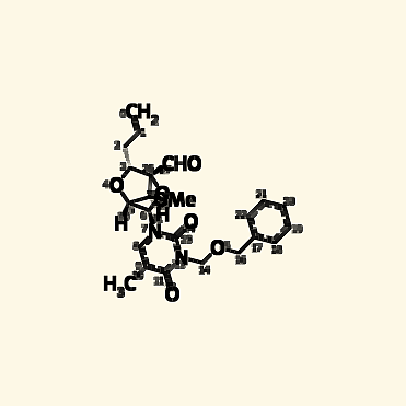 C=CC[C@H]1O[C@H]2[C@H](n3cc(C)c(=O)n(COCc4ccccc4)c3=O)O[C@]1(C=O)[C@H]2OC